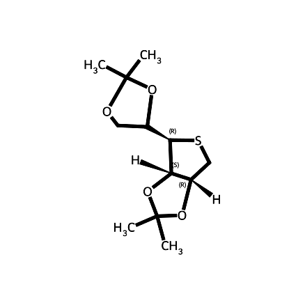 CC1(C)OCC([C@H]2SC[C@@H]3OC(C)(C)O[C@@H]32)O1